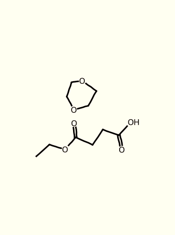 C1COCCO1.CCOC(=O)CCC(=O)O